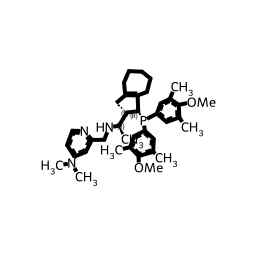 COc1c(C)cc(P(c2cc(C)c(OC)c(C)c2)[C@H]2C3=C(CCCCC3)C[C@H]2[C@@H](C)NCc2cc(N(C)C)ccn2)cc1C